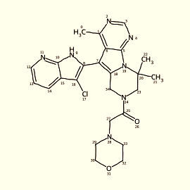 Cc1ncnc2c1c(-c1[nH]c3ncccc3c1Cl)c1n2C(C)(C)CN(C(=O)CN2CCOCC2)C1